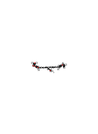 CN1Cc2c(Cl)cc(Cl)cc2C(c2ccc(S(=O)(=O)NCCOCCOCCOCCN(CCOCCOCCOCCNS(=O)(=O)c3ccc(C4CN(C)Cc5c(Cl)cc(Cl)cc54)cc3)C(=O)CCC(N)=O)cc2)C1